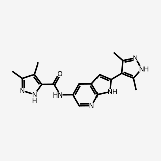 Cc1n[nH]c(C(=O)Nc2cnc3[nH]c(-c4c(C)n[nH]c4C)cc3c2)c1C